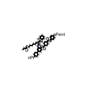 C=CC(=O)OCCCCCCN(/N=C/c1cc(C2CCC(CCC)CC2)ccc1OC(=O)C1CCC(C(=O)Oc2ccc(CCCCC)cc2)CC1)c1nc2ccccc2s1